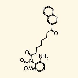 COC(=O)N(C(=O)CCCCCCC(=O)c1ccc2ccccc2c1)c1ccccc1N